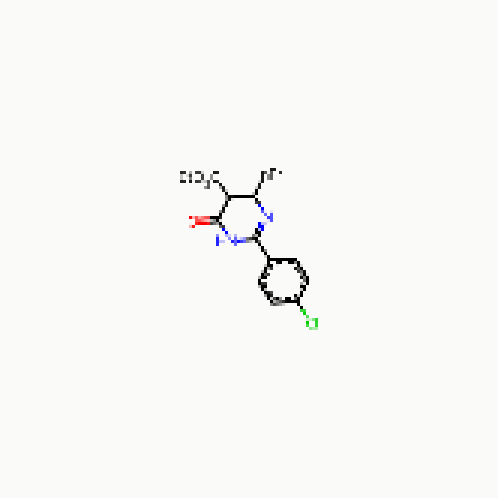 CCCC1N=C(c2ccc(Cl)cc2)NC(=O)C1C(=O)OCC